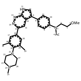 COCCN(C(C)=O)c1ccc(-c2c[nH]c3nnc(-c4cc(C)c(N5CCN(C)CC5)c(C)c4)cc23)cc1